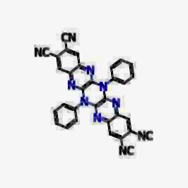 [C-]#[N+]c1cc2nc3c(nc2cc1[N+]#[C-])N(c1ccccc1)c1nc2cc(C#N)c(C#N)cc2nc1N3c1ccccc1